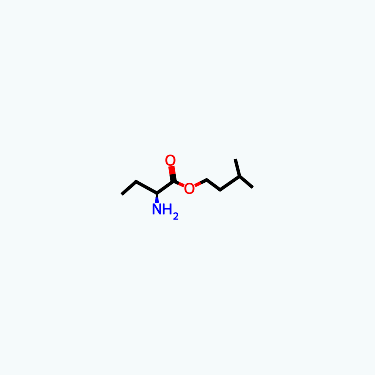 CC[C@H](N)C(=O)OCCC(C)C